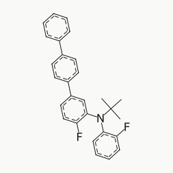 CC(C)(C)N(c1ccccc1F)c1cc(-c2ccc(-c3ccccc3)cc2)ccc1F